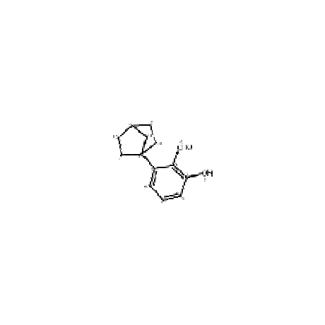 O=Cc1c(O)cccc1C12CCC(CC1)C2